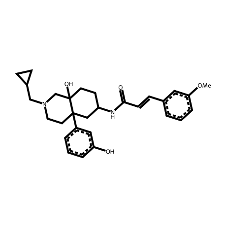 COc1cccc(/C=C/C(=O)NC2CCC3(O)CN(CC4CC4)CCC3(c3cccc(O)c3)C2)c1